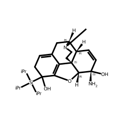 CC(C)[Si](C(C)C)(C(C)C)C1(O)CC=C2C[C@@H]3[C@@H]4C=C[C@](N)(O)[C@@H]5OC1=C2[C@@]54CCN3C